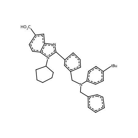 CC(C)(C)c1ccc(N(Cc2ccccc2)Cc2cccc(-c3nc4cc(C(=O)O)ccc4n3C3CCCCC3)c2)cc1